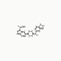 CC(O)c1cnc2cnc(N3CCN(C(C)c4ccc5c(c4)OCC5)CC3)cn12